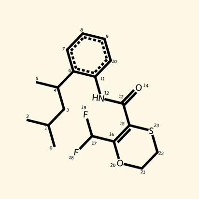 CC(C)CC(C)c1ccccc1NC(=O)C1=C(C(F)F)OCCS1